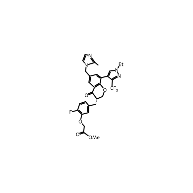 CCn1cc(-c2cc(Cn3ccnc3C)cc3c2OC[C@H](Cc2ccc(F)c(OCC(=O)OC)c2)C3=O)c(C(F)(F)F)n1